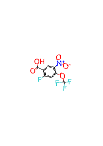 O=C(O)c1cc([N+](=O)[O-])c(OC(F)(F)F)cc1F